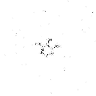 Oc1ncnc(O)c1O